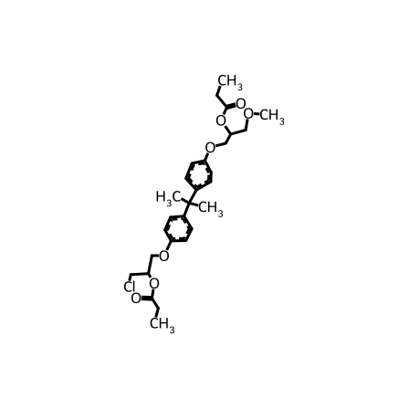 CCC(=O)OC(CCl)COc1ccc(C(C)(C)c2ccc(OCC(COC)OC(=O)CC)cc2)cc1